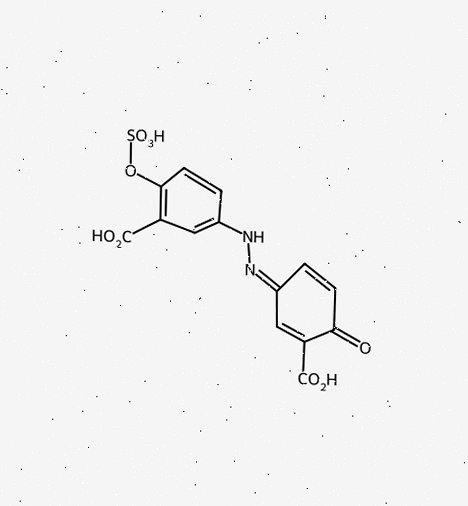 O=C(O)C1=C/C(=N/Nc2ccc(OS(=O)(=O)O)c(C(=O)O)c2)C=CC1=O